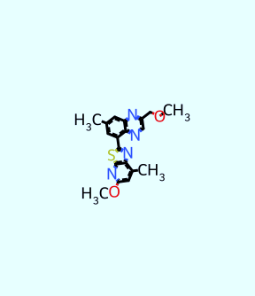 COCc1cnc2c(-c3nc4c(C)cc(OC)nc4s3)cc(C)cc2n1